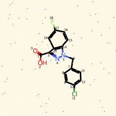 O=C(O)c1nn(Cc2ccc(Cl)cc2)c2ccc(F)cc12